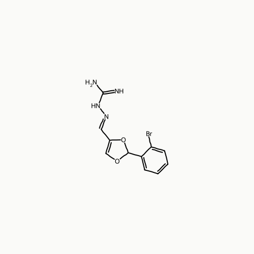 N=C(N)NN=CC1=COC(c2ccccc2Br)O1